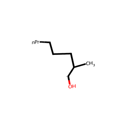 CCCCCCC(C)[CH]O